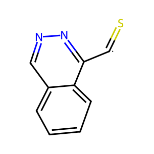 S=[C]c1nncc2ccccc12